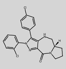 O=C1c2nn(-c3ccccc3Cl)c(-c3ccc(Cl)cc3)c2NC[C@@H]2CCCN12